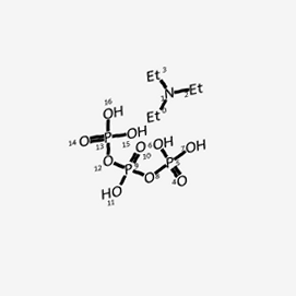 CCN(CC)CC.O=P(O)(O)OP(=O)(O)OP(=O)(O)O